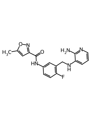 Cc1cc(C(=O)Nc2ccc(F)c(CNc3cccnc3N)c2)no1